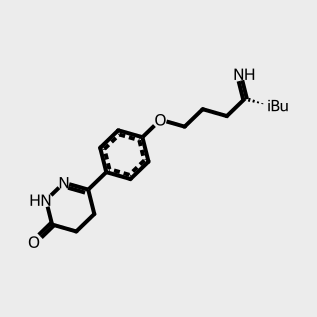 CC[C@@H](C)C(=N)CCCOc1ccc(C2=NNC(=O)CC2)cc1